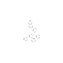 c1ccc(-c2ccc(N(c3cc4c(cn3)oc3c5ccccc5ccc43)c3cccc4sc5ccccc5c34)cc2)cc1